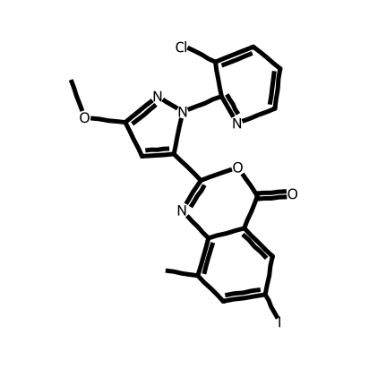 COc1cc(-c2nc3c(C)cc(I)cc3c(=O)o2)n(-c2ncccc2Cl)n1